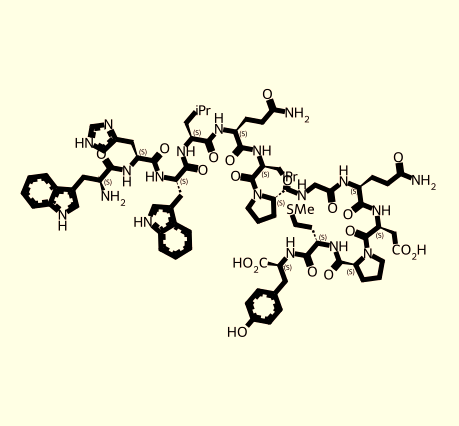 CSCC[C@H](NC(=O)[C@@H]1CCCN1C(=O)[C@H](CC(=O)O)NC(=O)[C@H](CCC(N)=O)NC(=O)CNC(=O)[C@@H]1CCCN1C(=O)[C@H](CC(C)C)NC(=O)[C@H](CCC(N)=O)NC(=O)[C@H](CC(C)C)NC(=O)[C@H](Cc1c[nH]c2ccccc12)NC(=O)[C@H](Cc1c[nH]cn1)NC(=O)[C@@H](N)Cc1c[nH]c2ccccc12)C(=O)N[C@@H](Cc1ccc(O)cc1)C(=O)O